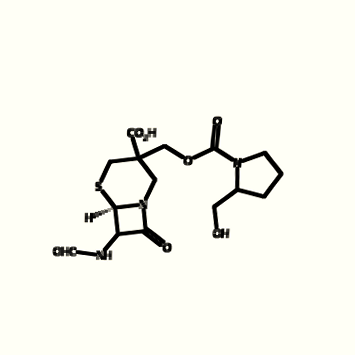 O=CNC1C(=O)N2CC(COC(=O)N3CCCC3CO)(C(=O)O)CS[C@H]12